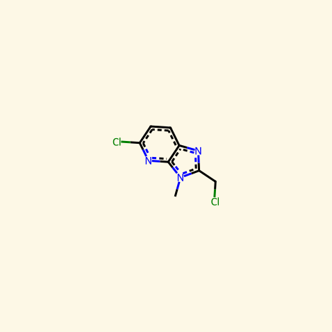 Cn1c(CCl)nc2ccc(Cl)nc21